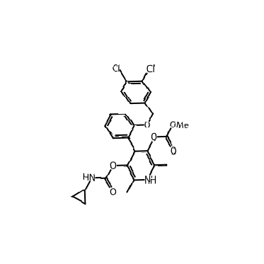 COC(=O)OC1=C(C)NC(C)=C(OC(=O)NC2CC2)C1c1ccccc1OCc1ccc(Cl)c(Cl)c1